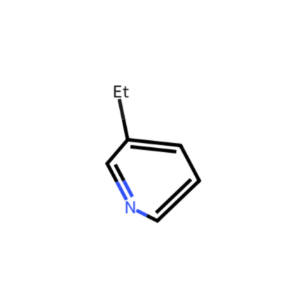 [C]Cc1cccnc1